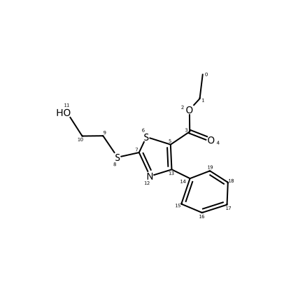 CCOC(=O)c1sc(SCCO)nc1-c1ccccc1